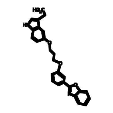 O=C(O)Cc1c[nH]c2ccc(OCCCOc3cccc(-c4nc5ccccc5o4)c3)cc12